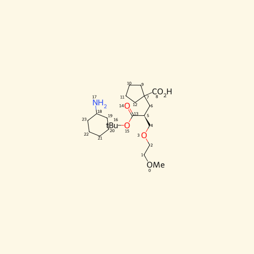 COCCOC[C@H](CC1(C(=O)O)CCCC1)C(=O)OC(C)(C)C.NC1CCCCC1